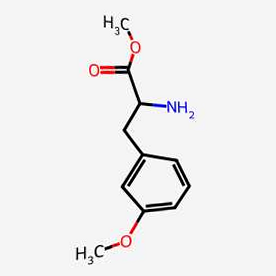 COC(=O)C(N)Cc1cccc(OC)c1